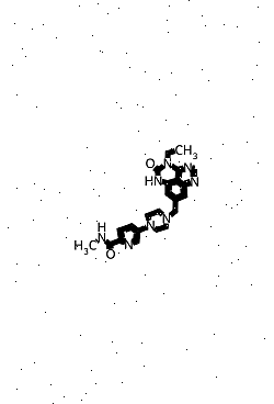 CCN1C(=O)Nc2cc(CN3CCN(c4ccc(C(=O)NC)nc4)CC3)cc3ncnc1c23